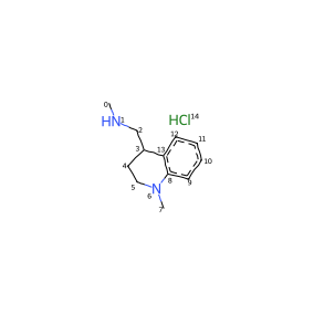 CNCC1CCN(C)c2ccccc21.Cl